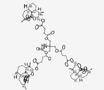 C[C@H]1[C@H](OC(=O)CCC(=O)OCC(COC(=O)CCC(=O)O[C@@H]2O[C@@H]3O[C@@]4(C)CC[C@H]5[C@H](C)CC[C@@H]([C@H]2C)[C@@]35OO4)(COC(=O)CCC(=O)O[C@@H]2O[C@@H]3O[C@@]4(C)CC[C@H]5[C@H](C)CC[C@@](C)([C@H]2C)[C@@]35OO4)NC=O)O[C@@H]2O[C@@]3(C)CC[C@H]4[C@H](C)CC[C@@H]1[C@@]24OO3